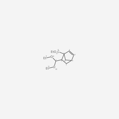 CCOC(=O)C12C=CC(CC1C(OCC)OCC)C2